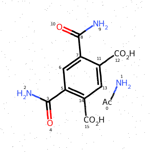 CC(N)=O.NC(=O)c1cc(C(N)=O)c(C(=O)O)cc1C(=O)O